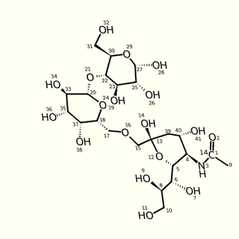 C[14C](=O)N[C@H]1[C@H]([C@H](O)[C@H](O)CO)O[C@](O)(COC[C@H]2O[C@@H](O[C@H]3[C@H](O)[C@@H](O)[C@@H](O)O[C@@H]3CO)[C@H](O)[C@@H](O)[C@H]2O)C[C@@H]1O